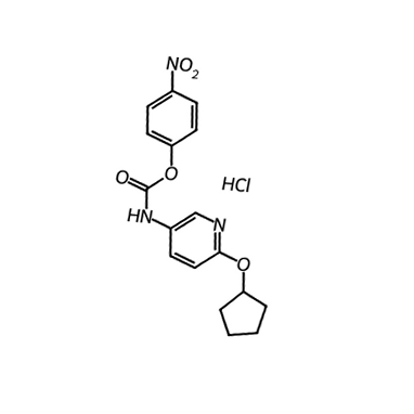 Cl.O=C(Nc1ccc(OC2CCCC2)nc1)Oc1ccc([N+](=O)[O-])cc1